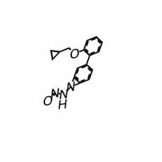 O=NNN1c2ccc(-c3ccccc3OCC3CC3)cc21